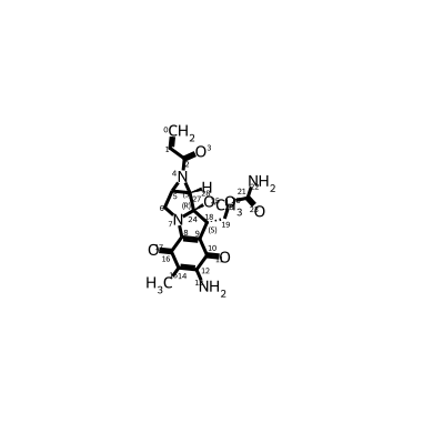 C=CC(=O)N1C2CN3C4=C(C(=O)C(N)=C(C)C4=O)[C@@H](COC(N)=O)[C@@]3(OC)[C@H]21